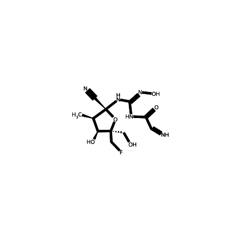 C[C@@H]1[C@H](O)[C@](CO)(CF)O[C@@]1(C#N)N/C(=N/O)NC(=O)C=N